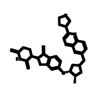 C[C@@H]1CN(Cc2ccc3nc(C4CCOC4)ccc3c2)C[C@H]1Oc1ccc2c(c1)CN(C1CCC(=O)NC1=O)C2=O